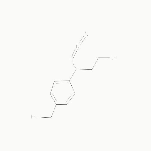 CCCC(N=[N+]=[N-])c1ccc(CF)cc1